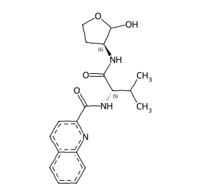 CC(C)[C@H](NC(=O)c1ccc2ccccc2n1)C(=O)N[C@H]1CCOC1O